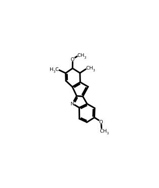 COc1ccc2c(c1)C1=CC3=C(C=C(C)C(OC)C3C)C1=N2